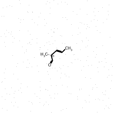 CC=C[C@@H](C)C=O